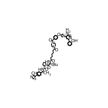 Cc1ncsc1-c1ccc([C@H](C)NC(=O)[C@@H]2CCCN2C(=O)[C@@H](NC(=O)CCCCCC(=O)N2CCN(C(=O)c3ccc(OC4CN(c5cc(-c6ccccc6O)nnc5N)C4)cc3)CC2)C(C)(C)C)cc1